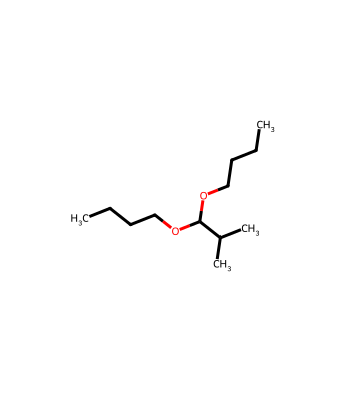 CCCCOC(OCCCC)[C](C)C